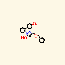 COc1ccc(-c2ccccc2-n2nc(COCc3ccccc3)cc2O)cc1